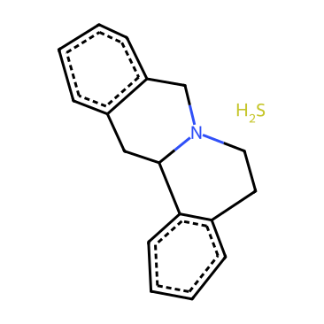 S.c1ccc2c(c1)CC1c3ccccc3CCN1C2